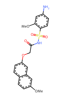 COc1ccc2ccc(OCC(=O)NS(=O)(=O)c3ccc(N)cc3OC)cc2c1